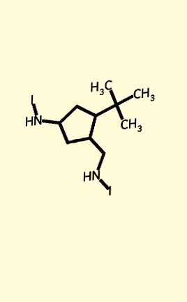 CC(C)(C)C1CC(NI)CC1CNI